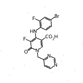 O=C(O)c1cn(Cc2ccncn2)c(=O)c(F)c1Nc1ccc(Br)cc1F